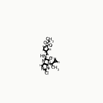 CCS(=O)(=O)N1CCC(CNc2nc3cnc(Cl)nc3n([C@@H](C)C3CC3)c2=O)C1